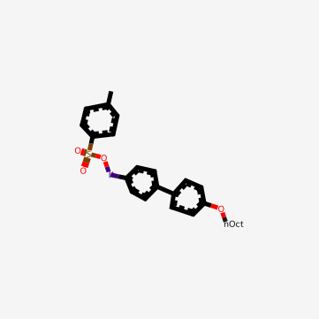 CCCCCCCCOc1ccc(-c2ccc([I+]OS(=O)(=O)c3ccc(C)cc3)cc2)cc1